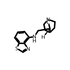 c1cc(NC[C@@H]2CN3CCC2CC3)c2ncsc2c1